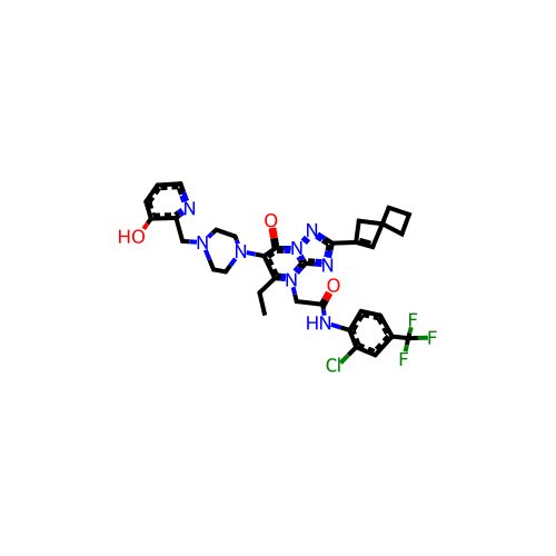 CCc1c(N2CCN(Cc3ncccc3O)CC2)c(=O)n2nc(C3=CC4(CCC4)C3)nc2n1CC(=O)Nc1ccc(C(F)(F)F)cc1Cl